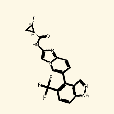 O=C(Nc1cn2cc(-c3c(C(F)(F)F)ccc4[nH]ncc34)ccc2n1)[C@@H]1C[C@@H]1F